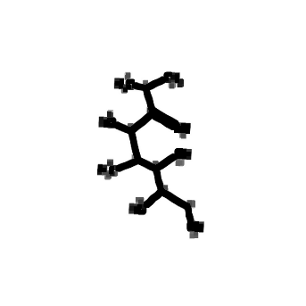 CC(C)C(=N)C(O)C(C)C(O)C(O)CO